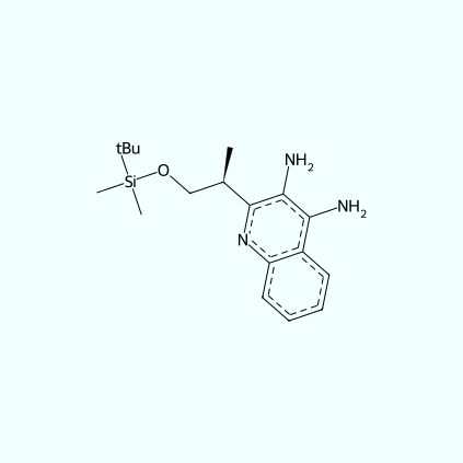 C[C@H](CO[Si](C)(C)C(C)(C)C)c1nc2ccccc2c(N)c1N